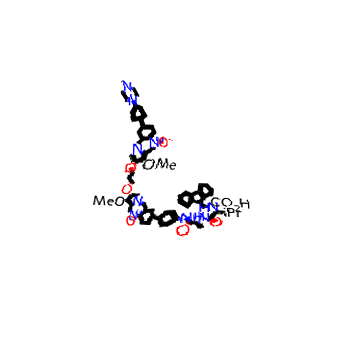 COc1c(OCCCOc2cn3c(c2OC)C=[N+]([O-])C2=CC=C(c4ccc(N5CCN(C)CC5)cc4)CC2C3)cn2c1C=[N+]([O-])C1=CC=C(c3ccc(NC(=O)C(C)NC(=O)C(C(C)C)N(CC4c5ccccc5-c5ccccc54)C(=O)O)cc3)CC1C2